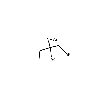 CC(=O)NC(CF)(CC(C)C)C(C)=O